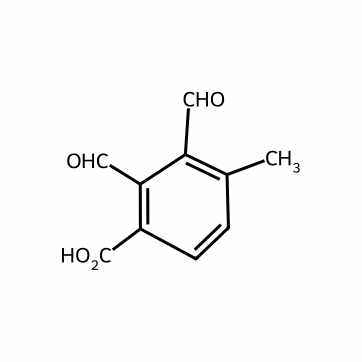 Cc1ccc(C(=O)O)c(C=O)c1C=O